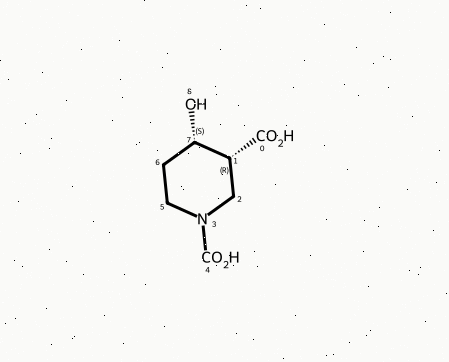 O=C(O)[C@@H]1CN(C(=O)O)CC[C@@H]1O